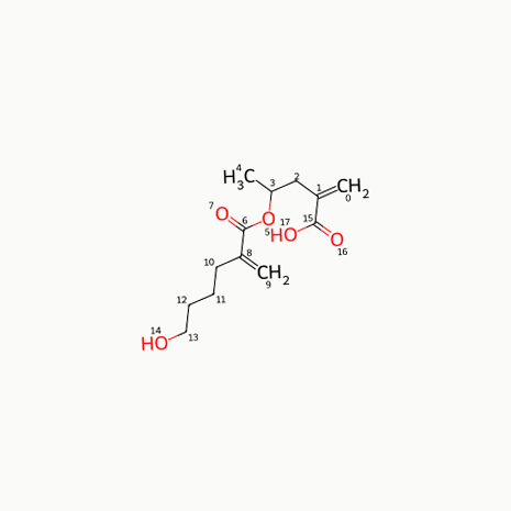 C=C(CC(C)OC(=O)C(=C)CCCCO)C(=O)O